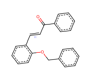 O=C(/C=C/c1ccccc1OCc1ccccc1)c1ccccc1